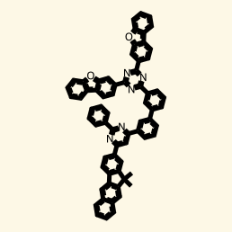 CC1(C)c2cc(-c3cc(-c4cccc(-c5cccc(-c6nc(-c7ccc8c(c7)oc7ccccc78)nc(-c7ccc8c(c7)oc7ccccc78)n6)c5)c4)nc(-c4ccccc4)n3)ccc2-c2cc3ccccc3cc21